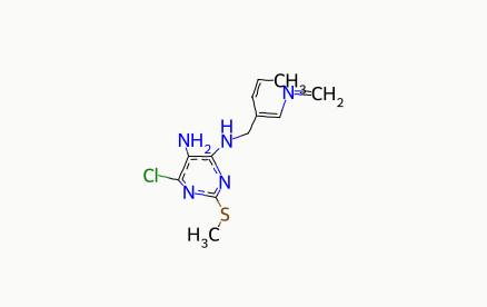 C=N/C=C(\C=C/C)CNc1nc(SC)nc(Cl)c1N